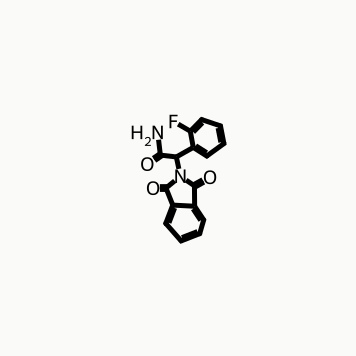 NC(=O)C(c1ccccc1F)N1C(=O)c2ccccc2C1=O